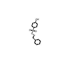 O=S(=O)(ON=[C]c1ccccc1)c1ccc(O)cc1